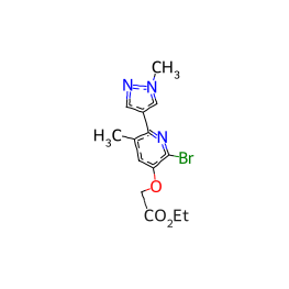 CCOC(=O)COc1cc(C)c(-c2cnn(C)c2)nc1Br